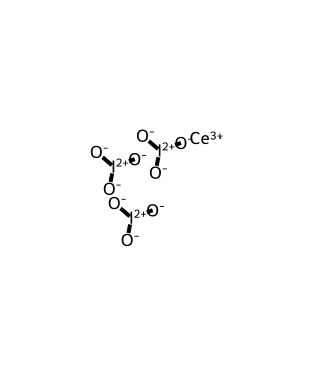 [Ce+3].[O-][I+2]([O-])[O-].[O-][I+2]([O-])[O-].[O-][I+2]([O-])[O-]